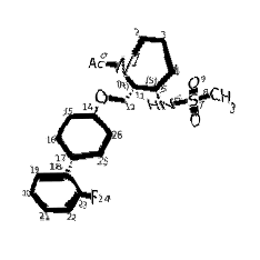 CC(=O)N1CCC[C@H](NS(C)(=O)=O)[C@@H]1CO[C@H]1CC[C@@H](c2ccccc2F)CC1